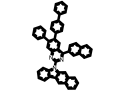 c1ccc(-c2ccc(-c3cc4c(-c5ccc6ccccc6c5)nc(-n5c6ccccc6c6cc7ccccc7cc65)nc4cc3-c3ccccc3)cc2)cc1